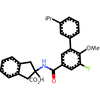 COc1c(F)cc(C(=O)NC2(C(=O)O)Cc3ccccc3C2)cc1-c1cccc(C(C)C)c1